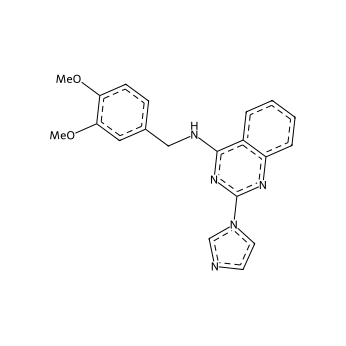 COc1ccc(CNc2nc(-n3ccnc3)nc3ccccc23)cc1OC